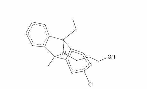 CCC12c3ccccc3C(C)(c3cc(Cl)ccc31)N2CCCO